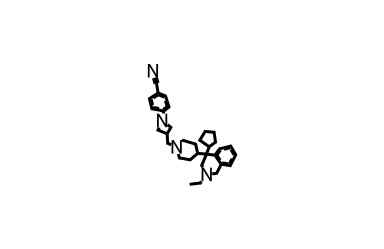 CCN1Cc2ccccc2C(C2CCCC2)(C2CCN(CC3CN(c4ccc(C#N)cc4)C3)CC2)C1